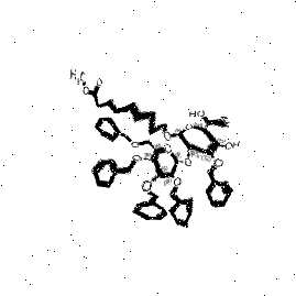 COC(=O)CCCCCCCCO[C@H]1O[C@H](C(O)F)[C@@H](O)[C@H](OCc2ccccc2)[C@H]1O[C@H]1O[C@H](COCc2ccccc2)[C@@H](OCc2ccccc2)[C@H](OCc2ccccc2)[C@H]1OCc1ccccc1